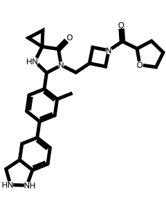 Cc1cc(C2=CC=C3NNCC3C2)ccc1C1NC2(CC2)C(=O)N1CC1CN(C(=O)C2CCCO2)C1